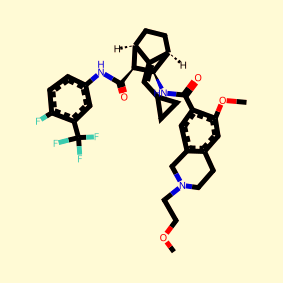 COCCN1CCc2cc(OC)c(C(=O)N[C@H]3[C@@H](C(=O)Nc4ccc(F)c(C(F)(F)F)c4)[C@H]4CC[C@@H]3C4=CC3CC3)cc2C1